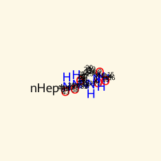 C=C1NCC(=O)NC(C(=O)NCC(=O)C2CC2)Cc2cccc(c2)-c2cccc(c2)C1N(C)C(=O)CNC(=O)CCNC(=O)CCCCCCC